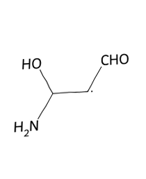 NC(O)[CH]C=O